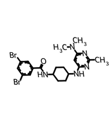 Cc1nc(NC2CCC(NC(=O)c3cc(Br)cc(Br)c3)CC2)cc(N(C)C)n1